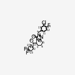 O=C(C1CCCc2nn(Cc3ccc(F)c(Cl)c3)c(=O)n21)N1CCC(F)(F)C1